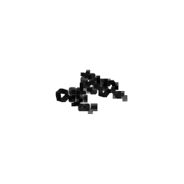 C[C@H](N[P@](=O)(OC[C@H]1O[C@@](C#N)(c2ccc3c(N)ncnn23)[C@@H]2OC(C)(C)O[C@@H]21)Oc1ccccc1)C(=O)O